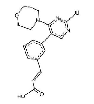 O=C(O)C=Cc1cccc(-c2cnc(Cl)nc2N2CCOCC2)c1